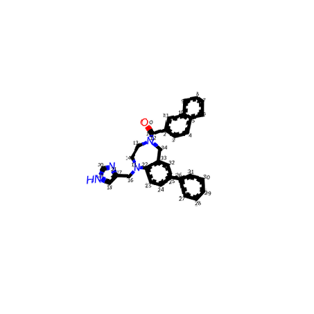 O=C(c1ccc2ccccc2c1)N1CCN(Cc2c[nH]cn2)c2ccc(-c3ccccc3)cc2C1